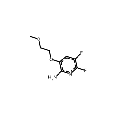 COCCOc1cc(F)c(F)nc1N